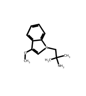 COc1cn(CC(C)(C)N)c2ccccc12